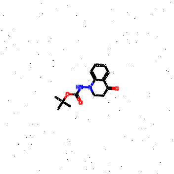 CC(C)(C)OC(=O)NN1CCC(=O)c2ccccc21